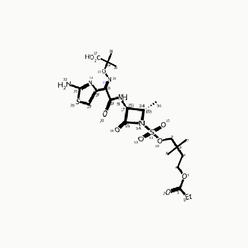 CCC(=O)OCCC(C)(C)COS(=O)(=O)N1C(=O)[C@@H](NC(=O)/C(=N/OC(C)(C)C(=O)O)c2csc(N)n2)[C@@H]1C